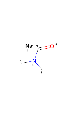 CN(C)C=O.[Na]